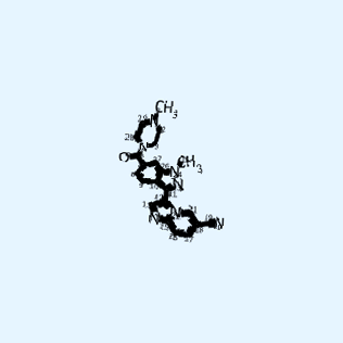 CN1CCN(C(=O)c2ccc3c(-c4cnc5ccc(C#N)cn45)nn(C)c3c2)CC1